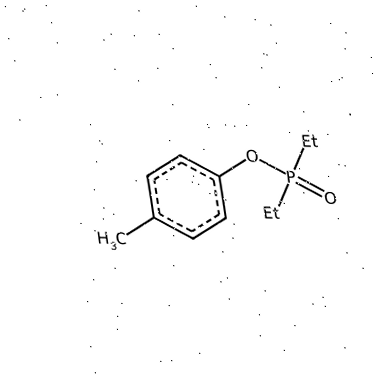 CCP(=O)(CC)Oc1ccc(C)cc1